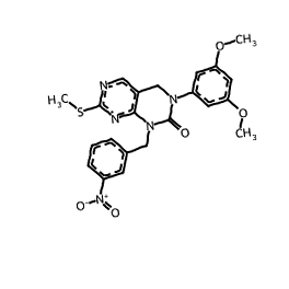 COc1cc(OC)cc(N2Cc3cnc(SC)nc3N(Cc3cccc([N+](=O)[O-])c3)C2=O)c1